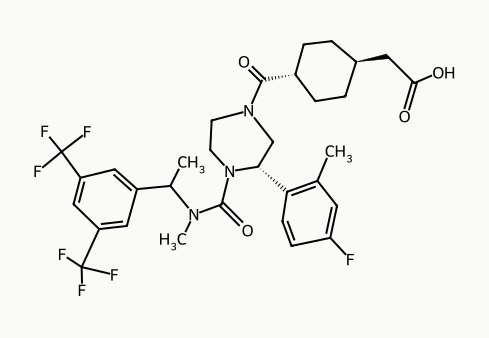 Cc1cc(F)ccc1[C@H]1CN(C(=O)[C@H]2CC[C@H](CC(=O)O)CC2)CCN1C(=O)N(C)C(C)c1cc(C(F)(F)F)cc(C(F)(F)F)c1